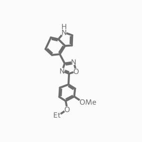 CCOc1ccc(-c2nc(-c3cccc4[nH]ccc34)no2)cc1OC